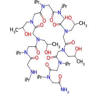 CC(O)CN(CC(=O)N(CC(=O)N(CC(=O)N(CC(=O)N(CC(=O)N(CC(=O)N(CC(=O)N(CC(N)=O)C(C)C)C(C)C)CC(C)O)CC(C)O)C(C)C)C(C)C)CC(C)O)C(=O)CN(C(=O)CNC(C)C)C(C)C